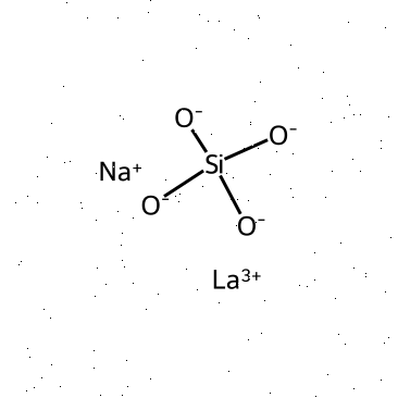 [La+3].[Na+].[O-][Si]([O-])([O-])[O-]